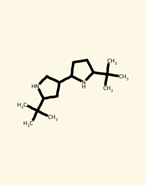 CC(C)(C)C1CC(C2CCC(C(C)(C)C)N2)CN1